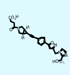 C[C@H](O)c1nccn1Cc1cc(-c2ccc(C#CC3[C@H]4CN(C(=O)CCC(=O)O)C[C@@H]34)cc2)on1